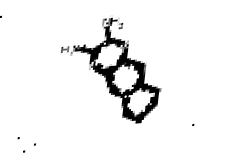 Nc1nc2cc3ccccc3cc2nc1N